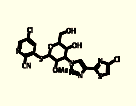 COC1C(Sc2cc(Cl)cnc2C#N)OC(CO)C(O)C1n1cc(-c2nc(Cl)cs2)nn1